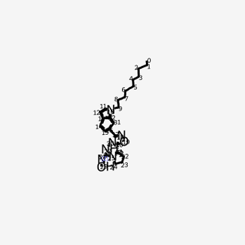 CCCCCCCCCCn1ccc2ccc(-c3noc([C@@H]4CCCN4/C(N)=N\O)n3)cc21